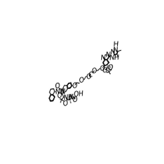 Cc1[nH]nc(Nc2ncnc3cc(OCCOCCOCCOCCOc4ccc5c(c4)CN(C(=O)[C@@H](NC(=O)[C@H](C)N(C)C(=O)O)C(C)(C)C)[C@H](C(=O)N[C@@H]4CCCc6ccccc64)C5)c(S(=O)(=O)C(C)(C)C)cc23)c1C